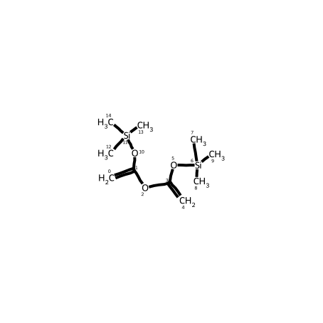 C=C(OC(=C)O[Si](C)(C)C)O[Si](C)(C)C